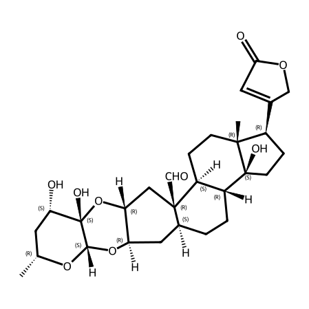 C[C@@H]1C[C@H](O)[C@]2(O)O[C@@H]3C[C@@]4(C=O)[C@@H](CC[C@@H]5[C@@H]4CC[C@]4(C)[C@@H](C6=CC(=O)OC6)CC[C@]54O)C[C@H]3O[C@@H]2O1